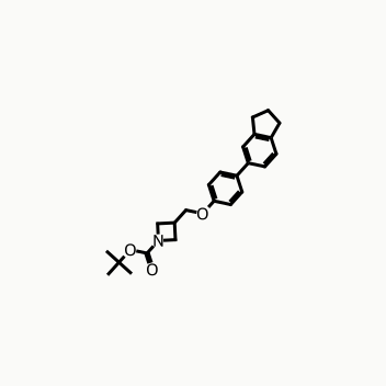 CC(C)(C)OC(=O)N1CC(COc2ccc(-c3ccc4c(c3)CCC4)cc2)C1